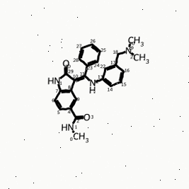 CNC(=O)c1ccc2c(c1)C(=C(Nc1cccc(CN(C)C)c1)c1ccccc1)C(=O)N2